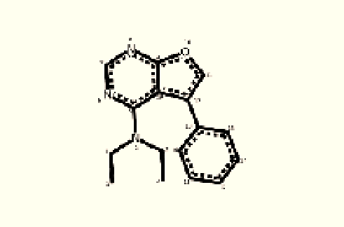 CCN(CC)c1ncnc2occ(-c3ccccc3)c12